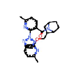 Cc1cccc(OCC2CC3CCC2N3C(=O)c2ccc(C)nc2-n2nccn2)n1